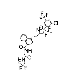 O=C(CNC(=O)c1ccc(/C=C/C2=NOC(c3cc(Cl)cc(C(F)(F)F)c3)(C(F)(F)F)C2)c2ccccc12)NCC(F)(F)F